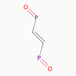 O=PC=CP=O